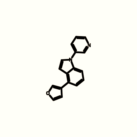 c1cncc(-n2ccc3c(-c4ccoc4)cccc32)c1